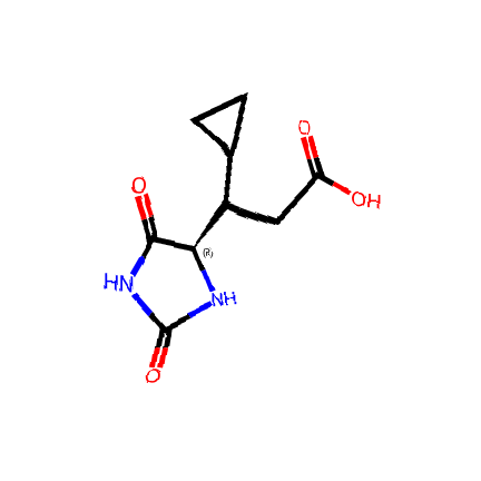 O=C(O)CC(C1CC1)[C@H]1NC(=O)NC1=O